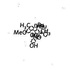 CCCCC1(CCCC)c2cc(C(C)(C)c3ccccc3)c3c(c2-c2c1cc(C)c1cc(OC)ccc21)C(=O)N(c1ccc(O)cc1)C3=O